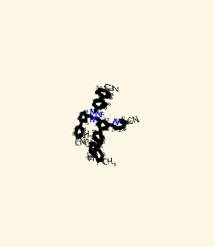 C[C@@H]1C[C@@H]2C[C@H](C)CC(c3ccc(-c4cc(-c5ccc(C#N)cn5)cc(-c5nc(-c6ccc(-c7ccc(C#N)cc7)cc6)nc(-c6cccc(-c7ccc(C#N)cc7)c6)n5)c4)cc3)(C1)C2